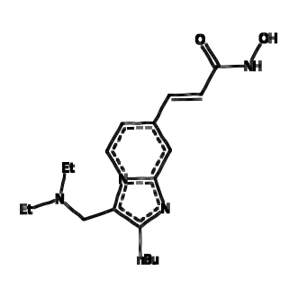 CCCCc1nc2cc(C=CC(=O)NO)ccn2c1CN(CC)CC